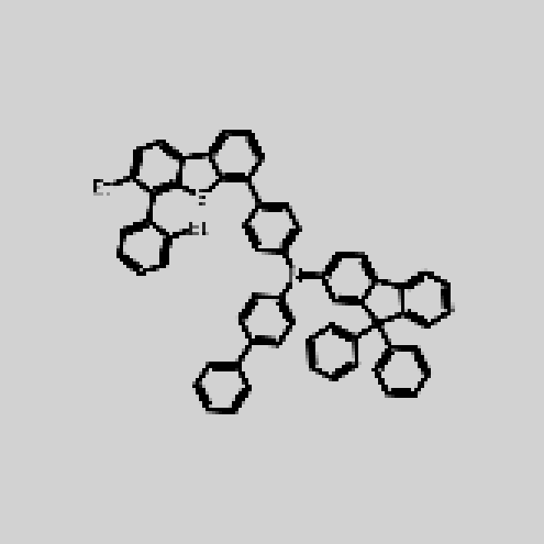 CCc1ccccc1-c1c(CC)ccc2c1sc1c(-c3ccc(N(c4ccc(-c5ccccc5)cc4)c4ccc5c(c4)C(c4ccccc4)(c4ccccc4)c4ccccc4-5)cc3)cccc12